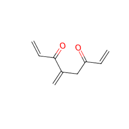 C=CC(=O)CC(=C)C(=O)C=C